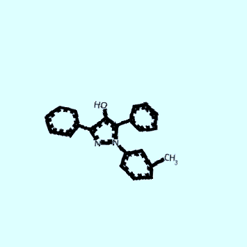 Cc1cccc(-n2nc(-c3ccccc3)c(O)c2-c2ccccc2)c1